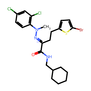 CN(/N=C(\CCc1ccc(Br)s1)C(=O)NCC1CCCCC1)c1ccc(Cl)cc1Cl